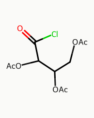 CC(=O)OCC(OC(C)=O)C(OC(C)=O)C(=O)Cl